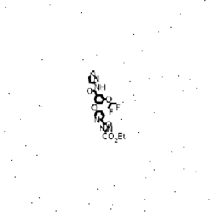 CCOC(=O)c1noc(-c2ccc(Oc3cc(OC(CF)CF)cc(C(=O)Nc4ccn(C)n4)c3)cn2)n1